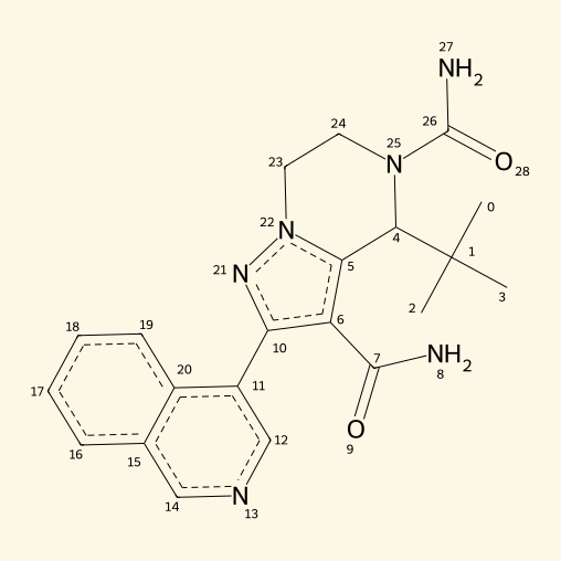 CC(C)(C)C1c2c(C(N)=O)c(-c3cncc4ccccc34)nn2CCN1C(N)=O